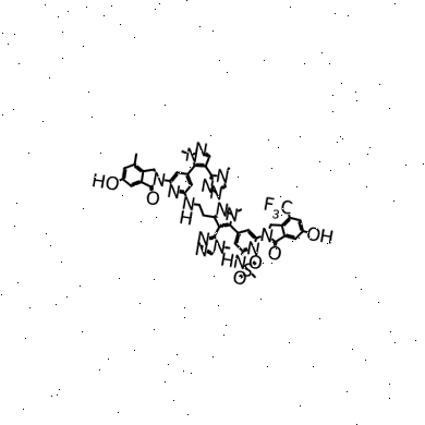 Cc1cc(O)cc2c1CN(c1cc(-c3c(-c4nncn4C)cnn3C)cc(NCCc3nn(C)c(-c4cc(NS(C)(=O)=O)nc(N5Cc6c(cc(O)cc6C(F)(F)F)C5=O)c4)c3-c3nncn3C)n1)C2=O